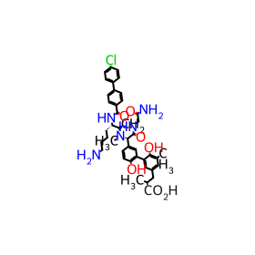 C=C([C@H](CCCCN)NC(=O)c1ccc(-c2ccc(Cl)cc2)cc1)N(C)[C@H](C(=O)NCC(N)=O)c1ccc(O)c(-c2cc(C[C@H](C)C(=O)O)cc(C)c2O)c1